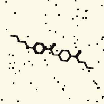 CCCCOc1ccc(C(=O)C[C@H]2CC[C@H](C(=O)CCCC)CC2)cc1